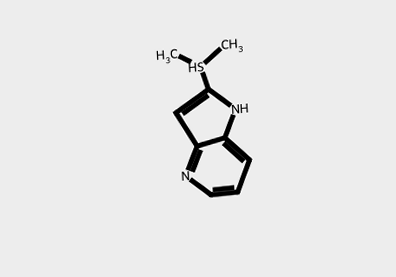 C[SH](C)c1cc2ncccc2[nH]1